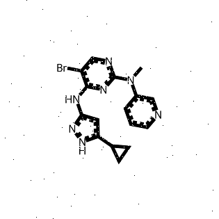 CN(c1cccnc1)c1ncc(Br)c(Nc2cc(C3CC3)[nH]n2)n1